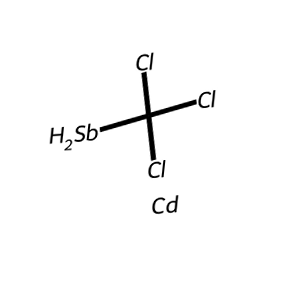 Cl[C](Cl)(Cl)[SbH2].[Cd]